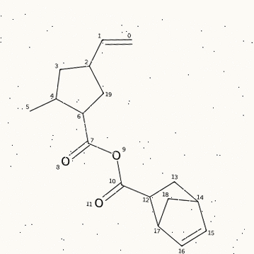 C=CC1CC(C)C(C(=O)OC(=O)C2CC3C=CC2C3)C1